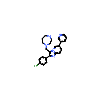 Clc1ccc(-c2nc3ccc(-c4cccnc4)cn3c2CN2CCCNCC2)cc1